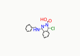 O=C(O)N1N=C(NCc2ccccc2)c2ccccc2C1Cl